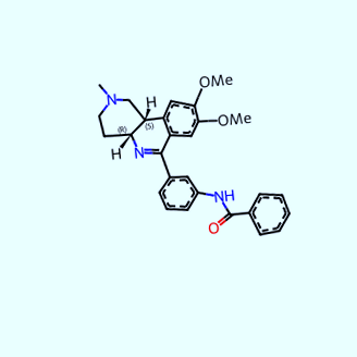 COc1cc2c(cc1OC)[C@H]1CN(C)CC[C@H]1N=C2c1cccc(NC(=O)c2ccccc2)c1